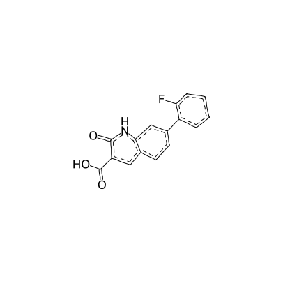 O=C(O)c1cc2ccc(-c3ccccc3F)cc2[nH]c1=O